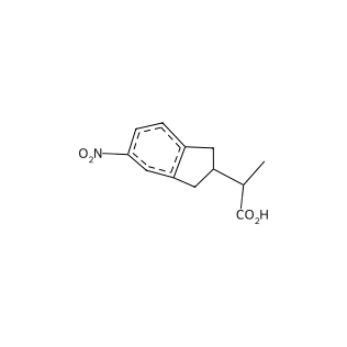 CC(C(=O)O)C1Cc2ccc([N+](=O)[O-])cc2C1